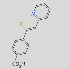 O=C(O)c1ccc(C(F)=Cc2ccccn2)cc1